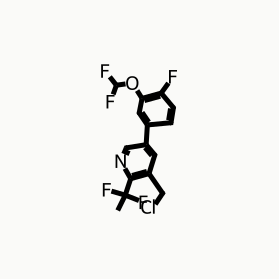 CC(F)(F)c1ncc(-c2ccc(F)c(OC(F)F)c2)cc1CCl